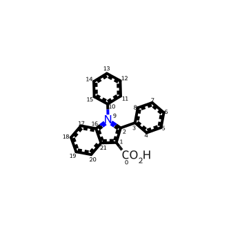 O=C(O)c1c(-c2ccccc2)n(-c2ccccc2)c2ccccc12